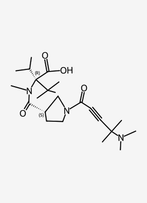 CC(C)[C@@](C(=O)O)(N(C)C(=O)[C@H]1CCN(C(=O)C#CC(C)(C)N(C)C)C1)C(C)(C)C